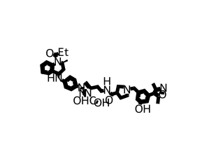 CCC(=O)N1c2ccccc2[C@H](Nc2ccc(-n3cc(CCNC(=O)C4CCN(Cc5cc(O)cc(-c6c(C)noc6C)c5)CC4)nn3)cc2)C[C@@H]1C.O=CO